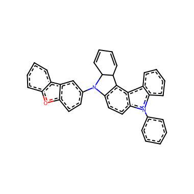 C1=CC2c3c(ccc4c3c3ccccc3n4-c3ccccc3)N(c3ccc4oc5ccccc5c4c3)C2C=C1